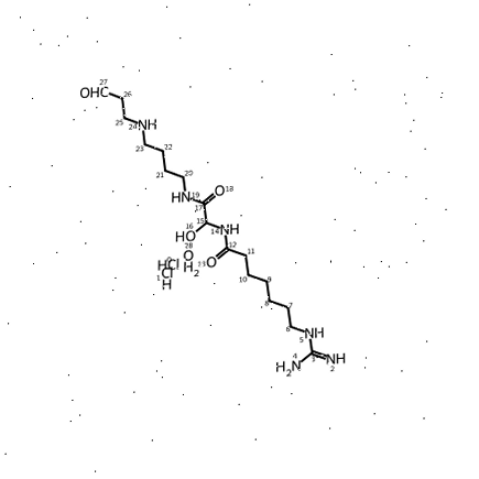 Cl.Cl.N=C(N)NCCCCCCC(=O)NC(O)C(=O)NCCCCNCCC=O.O